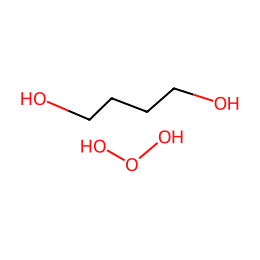 OCCCCO.OOO